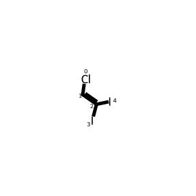 ClC=C(I)I